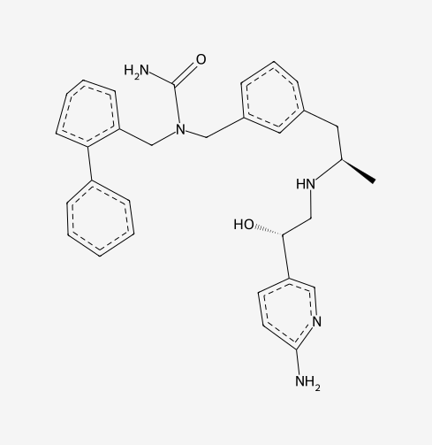 C[C@H](Cc1cccc(CN(Cc2ccccc2-c2ccccc2)C(N)=O)c1)NC[C@@H](O)c1ccc(N)nc1